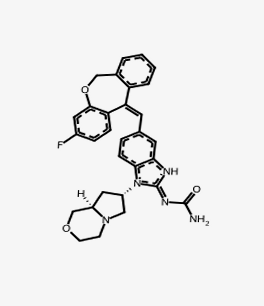 NC(=O)N=c1[nH]c2cc(C=C3c4ccccc4COc4cc(F)ccc43)ccc2n1[C@H]1C[C@@H]2COCCN2C1